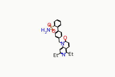 CCc1cc2c(ccc(=O)n2Cc2ccc(-c3ccccc3S(N)(=O)=O)cc2)c(CC)n1